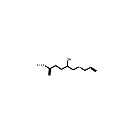 C=CCOCC(O)CCC(=C)C(=O)O